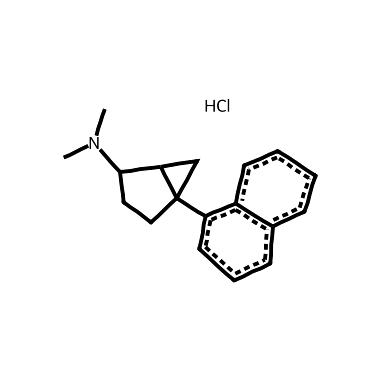 CN(C)C1CCC2(c3cccc4ccccc34)CC12.Cl